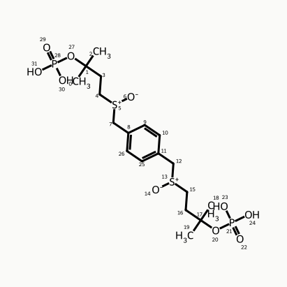 CC(C)(CC[S+]([O-])Cc1ccc(C[S+]([O-])CCC(C)(C)OP(=O)(O)O)cc1)OP(=O)(O)O